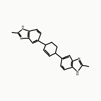 Cc1nc2cc(C3C=CC(c4ccc5[nH]c(C)nc5c4)CC3)ccc2[nH]1